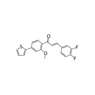 COc1cc(-c2cccs2)ccc1C(=O)C=Cc1ccc(F)c(F)c1